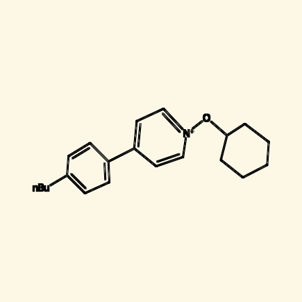 CCCCc1ccc(-c2cc[n+](OC3CCCCC3)cc2)cc1